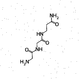 NCC(=O)NCC(=O)NCCC(N)=O